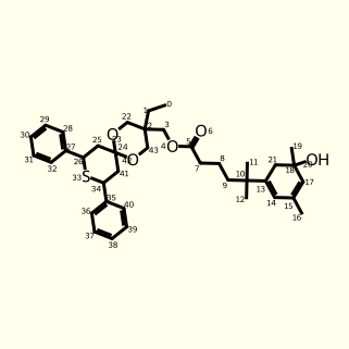 CCC1(COC(=O)CCCC(C)(C)C2=CC(C)=CC(C)(O)C2)COC2(CC(c3ccccc3)SC(c3ccccc3)C2)OC1